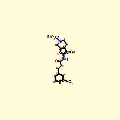 CCOC(=O)N1CCc2c(sc(NC(=O)CCc3cccc([N+](=O)[O-])c3)c2C#N)C1